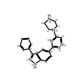 c1ccc(-c2n[nH]c3ccc(-c4nncc(N5CCNCC5)n4)cc23)cc1